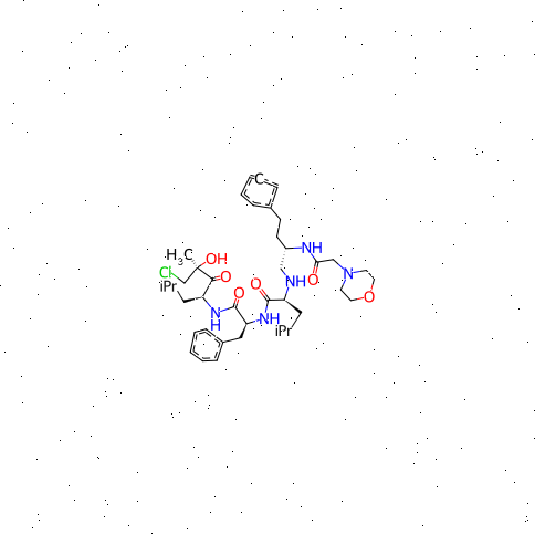 CC(C)C[C@H](NC[C@H](CCc1ccccc1)NC(=O)CN1CCOCC1)C(=O)N[C@@H](Cc1ccccc1)C(=O)N[C@@H](CC(C)C)C(=O)[C@](C)(O)CCl